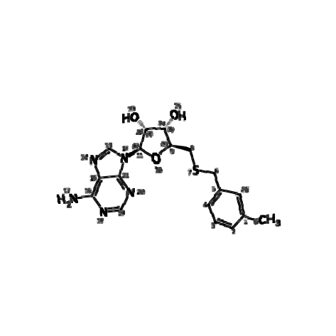 Cc1cccc(CSC[C@H]2O[C@@H](n3cnc4c(N)ncnc43)[C@H](O)[C@@H]2O)c1